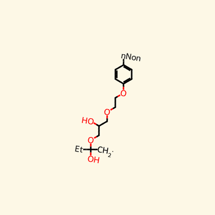 [CH2]C(O)(CC)OCC(O)COCCOc1ccc(CCCCCCCCC)cc1